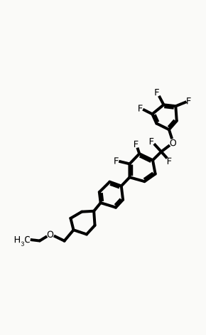 CCOCC1CCC(c2ccc(-c3ccc(C(F)(F)Oc4cc(F)c(F)c(F)c4)c(F)c3F)cc2)CC1